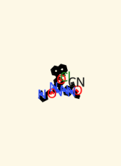 C=CC(=O)N1CCN(c2nc(OCC3CCCN3C)nc3c2COC(c2cccc4cccc(Cl)c24)C3)CC1CC#N